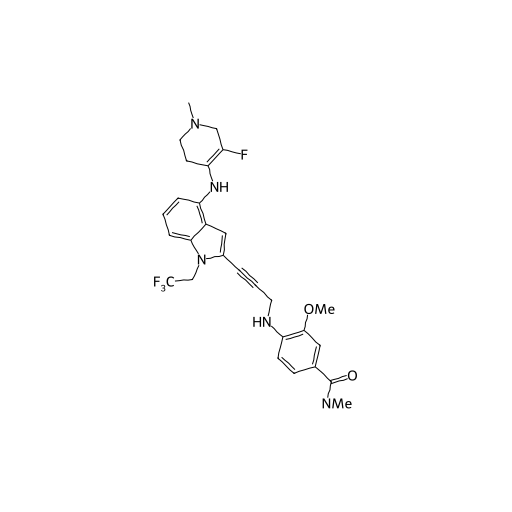 CNC(=O)c1ccc(NCC#Cc2cc3c(NC4=C(F)CN(C)CC4)cccc3n2CC(F)(F)F)c(OC)c1